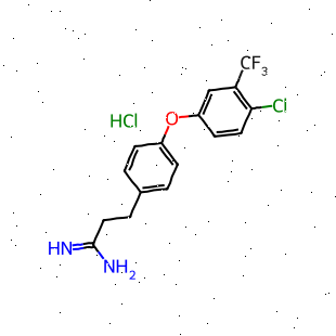 Cl.N=C(N)CCc1ccc(Oc2ccc(Cl)c(C(F)(F)F)c2)cc1